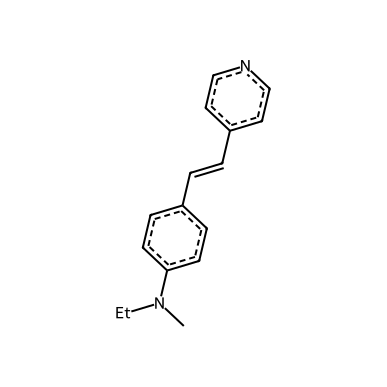 CCN(C)c1ccc(/C=C/c2ccncc2)cc1